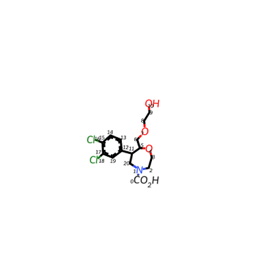 O=C(O)N1CCOC(COCCO)C(c2ccc(Cl)c(Cl)c2)C1